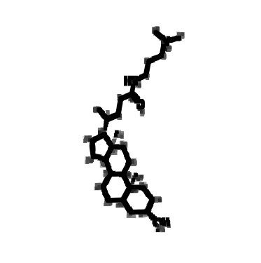 CC(CCC(=O)NCCCN(C)C)[C@H]1CCC2C3CCC4C[C@H](O)CC[C@]4(C)C3CC[C@@]21C